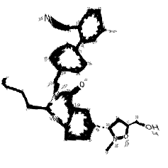 CCCCc1nc2ccc([C@@H]3C[C@@H](CO)ON3C)cc2c(=O)n1Cc1ccc(-c2ccccc2C#N)cc1